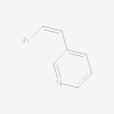 CC(C)/C=C\c1cccnc1